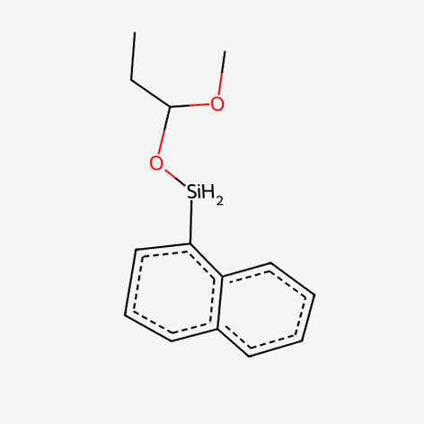 CCC(OC)O[SiH2]c1cccc2ccccc12